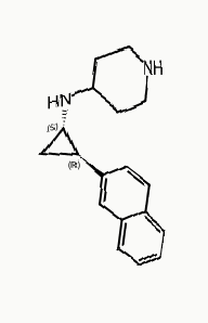 c1ccc2cc([C@H]3C[C@@H]3NC3CCNCC3)ccc2c1